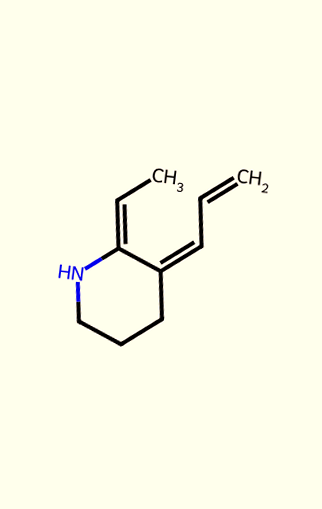 C=C/C=C1/CCCN/C1=C/C